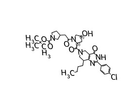 CCCCC1CN(C(=O)[C@@H]2C[C@@H](O)CN2C(=O)CC2CCN(C(=O)OC(C)(C)C)C2)Cc2c1nc(-c1ccc(Cl)cc1)[nH]c2=O